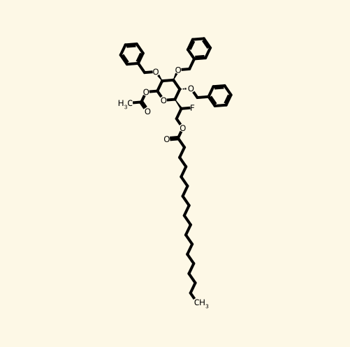 CCCCCCCCCCCCCCCCCC(=O)OCC(F)[C@H]1OC(OC(C)=O)[C@@H](OCc2ccccc2)[C@@H](OCc2ccccc2)[C@@H]1OCc1ccccc1